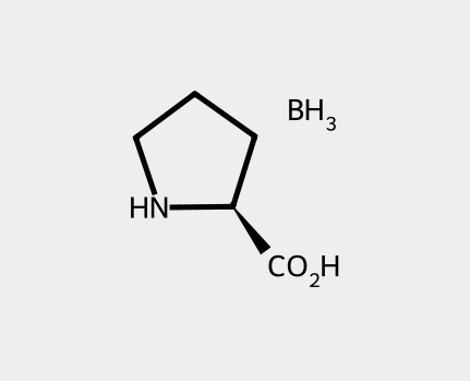 B.O=C(O)[C@@H]1CCCN1